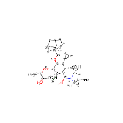 O=C(O)C(O)C(O)C(=O)O.O=C(O)[C@@H]1C[C@H]2C[C@H]2N1C(=O)c1cc(C2CC2)c(OCC23CC4CC(CC(C4)C2)C3)cc1F